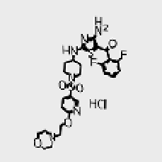 Cl.Nc1nc(NC2CCN(S(=O)(=O)c3ccc(OCCN4CCOCC4)nc3)CC2)sc1C(=O)c1c(F)cccc1F